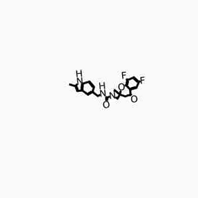 Cc1cc2cc(CNC(=O)N3CC4(CC(=O)c5cc(F)cc(F)c5O4)C3)ccc2[nH]1